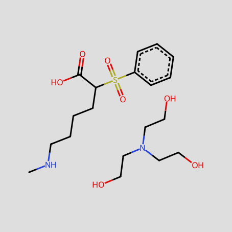 CNCCCCC(C(=O)O)S(=O)(=O)c1ccccc1.OCCN(CCO)CCO